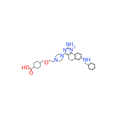 Nc1nc2c(c(N3CCN(CCOCC4CCC(C(=O)O)CC4)CC3)n1)CCc1cc(NCc3ccccc3)ccc1-2